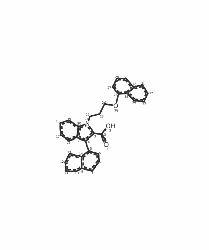 O=C(O)c1c(-c2cccc3ccccc23)c2ccccc2n1CCCOc1cccc2ccccc12